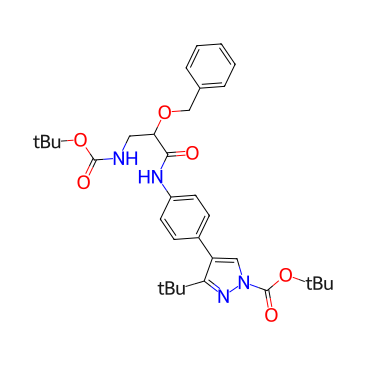 CC(C)(C)OC(=O)NCC(OCc1ccccc1)C(=O)Nc1ccc(-c2cn(C(=O)OC(C)(C)C)nc2C(C)(C)C)cc1